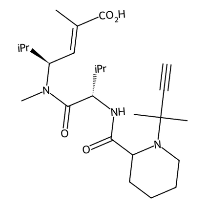 C#CC(C)(C)N1CCCCC1C(=O)N[C@H](C(=O)N(C)[C@H](/C=C(\C)C(=O)O)C(C)C)C(C)C